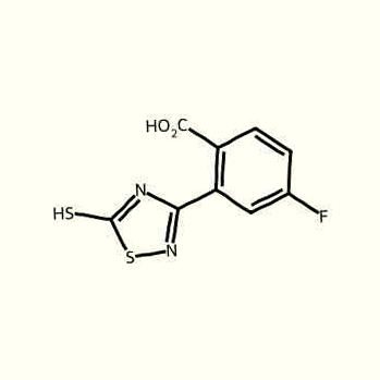 O=C(O)c1ccc(F)cc1-c1nsc(S)n1